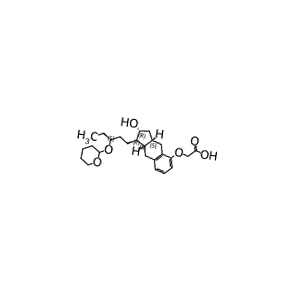 CC[C@@H](CC[C@@H]1[C@H]2Cc3cccc(OCC(=O)O)c3C[C@H]2C[C@H]1O)OC1CCCCO1